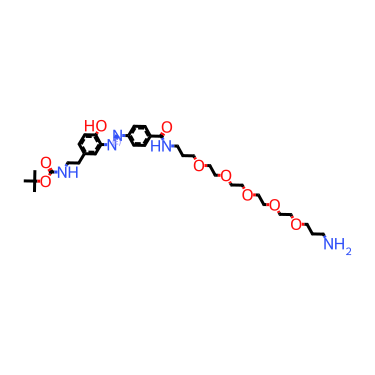 CC(C)(C)OC(=O)NCCc1ccc(O)c(/N=N/c2ccc(C(=O)NCCCOCCOCCOCCOCCOCCCN)cc2)c1